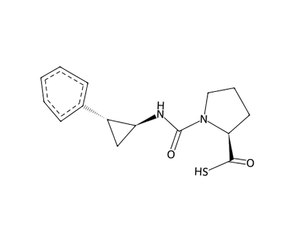 O=C(S)[C@@H]1CCCN1C(=O)N[C@H]1C[C@@H]1c1ccccc1